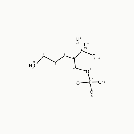 CCCCC(CC)COP(=O)([O-])[O-].[Li+].[Li+]